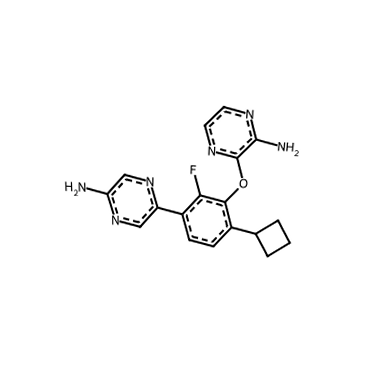 Nc1cnc(-c2ccc(C3CCC3)c(Oc3nccnc3N)c2F)cn1